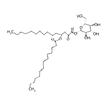 CCCCCCCCCCCCCC(=O)OC(CCCCCCCCCCC)CC(=O)NO[C@@H]1O[C@H](CO)[C@@H](O)[C@H](O)[C@H]1O